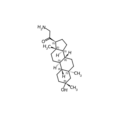 C[C@@]1(O)CC[C@@H]2[C@H]3CC[C@]4(C)[C@@H](C(=O)CN)CC[C@H]4[C@@H]3CC[C@@]2(C)C1